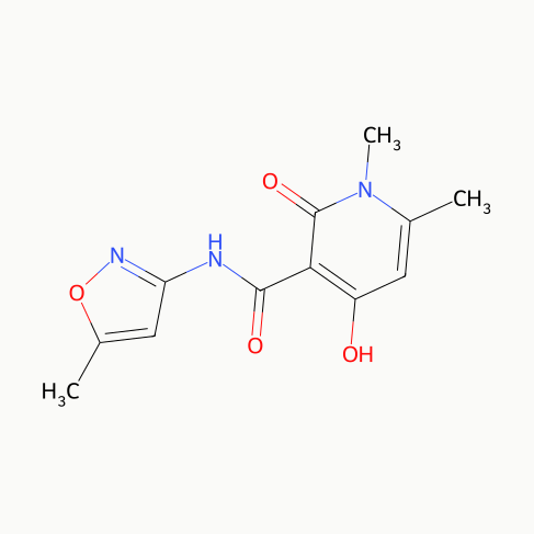 Cc1cc(NC(=O)c2c(O)cc(C)n(C)c2=O)no1